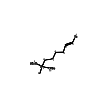 CCC=CCCCC[Si](C)(OC)OC